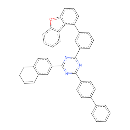 C1=Cc2cc(-c3nc(-c4ccc(-c5ccccc5)cc4)nc(-c4cccc(-c5cccc6oc7ccccc7c56)c4)n3)ccc2CC1